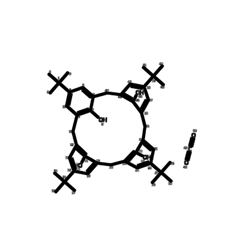 CC(C)(C)c1cc2c(O)c(c1)Cc1cc(C(C)(C)C)cc(c1O)Cc1cc(C(C)(C)C)cc(c1O)Cc1cc(C(C)(C)C)cc(c1O)C2.O=C=O